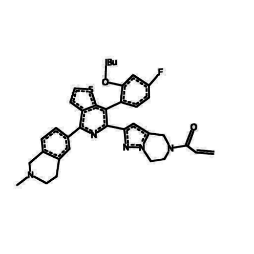 C=CC(=O)N1CCn2nc(-c3nc(-c4ccc5c(c4)CCN(C)C5)c4ccsc4c3-c3ccc(F)cc3OC(C)CC)cc2C1